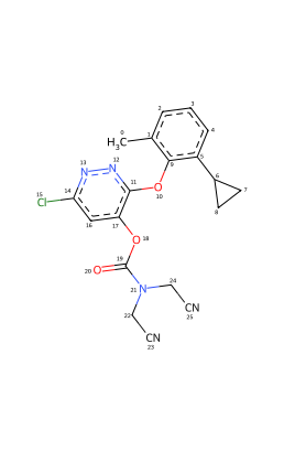 Cc1cccc(C2CC2)c1Oc1nnc(Cl)cc1OC(=O)N(CC#N)CC#N